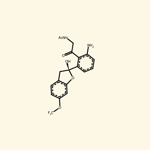 CC(=O)NCC(=O)c1c(N)cccc1[C@@]1(O)Cc2ccc(OC(F)(F)F)cc2O1